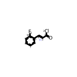 O=C(Cl)/C=C/c1ccccc1F